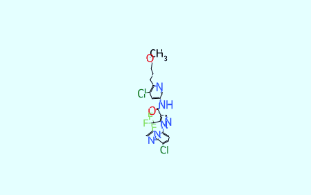 COCCCCc1ncc(NC(=O)c2cnn(-c3ccc(Cl)c4nccn34)c2C(F)(F)F)cc1Cl